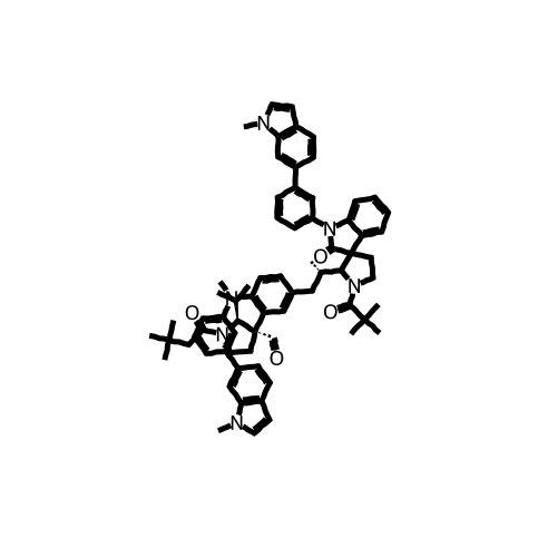 CC(C)[C@@H]1N(C(=O)CC(C)(C)C)CC[C@]1(C=O)c1cc(C[C@H](C)C2N(C(=O)C(C)(C)C)CCC23C(=O)N(c2cccc(-c4ccc5ccn(C)c5c4)c2)c2ccccc23)ccc1N(C)c1cccc(-c2ccc3ccn(C)c3c2)c1